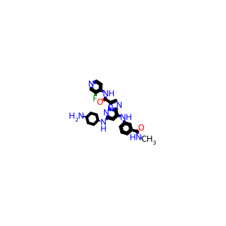 CNC(=O)c1cccc(Nc2cc(N[C@H]3CC[C@H](N)CC3)nn3c(C(=O)Nc4ccncc4F)cnc23)c1